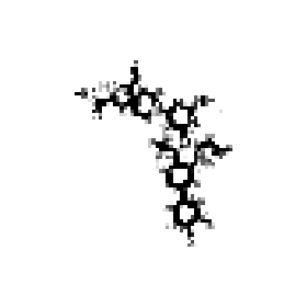 CCC1NC(C(=O)O)CC12CCN(c1cc(O[C@H](c3ccc(-c4ccc(C)c(C)c4)cc3-n3ccc(C)n3)C(F)(F)F)nc(N)n1)CC2